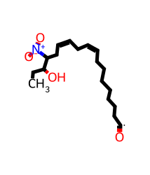 CCC(O)C(C/C=C\C/C=C\CCCCCCC[C]=O)[N+](=O)[O-]